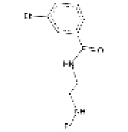 CCc1cccc(C(=O)NCCNC(C)C)c1